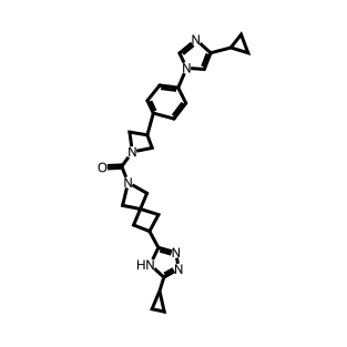 O=C(N1CC(c2ccc(-n3cnc(C4CC4)c3)cc2)C1)N1CC2(CC(c3nnc(C4CC4)[nH]3)C2)C1